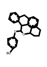 CCC(C)c1ccc(OC(OC2CCCCC2)C2c3ccccc3Cc3ccccc32)cc1